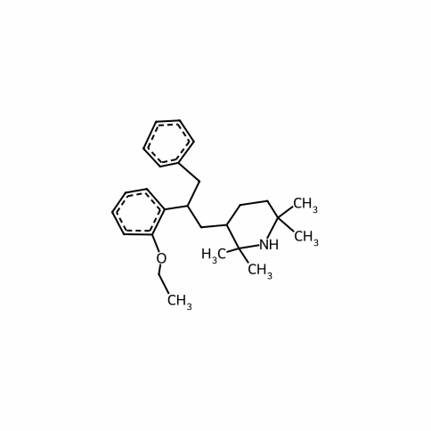 CCOc1ccccc1C(Cc1ccccc1)CC1CCC(C)(C)NC1(C)C